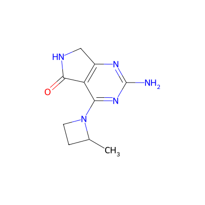 CC1CCN1c1nc(N)nc2c1C(=O)NC2